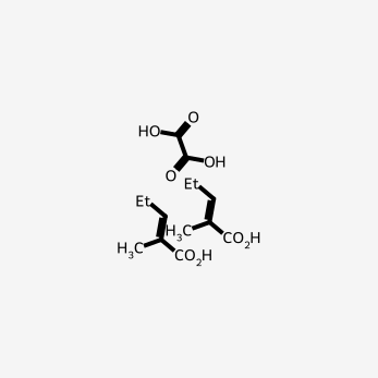 CCC=C(C)C(=O)O.CCC=C(C)C(=O)O.O=C(O)C(=O)O